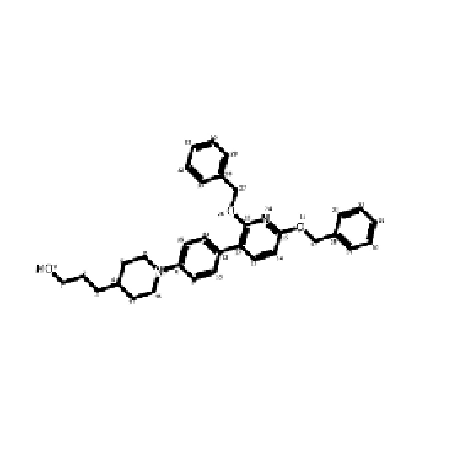 OCCCC1CCN(c2ccc(-c3ccc(OCc4ccccc4)nc3OCc3ccccc3)cc2)CC1